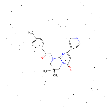 Cc1ccc(C(=O)CN2CC(C)(C)Cn3c2nc(-c2ccncc2)cc3=O)cc1